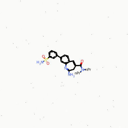 CCCN(CCC)C(=O)C1=Cc2ccc(-c3cccc(S(N)(=O)=O)c3)cc2N=C(N)C1